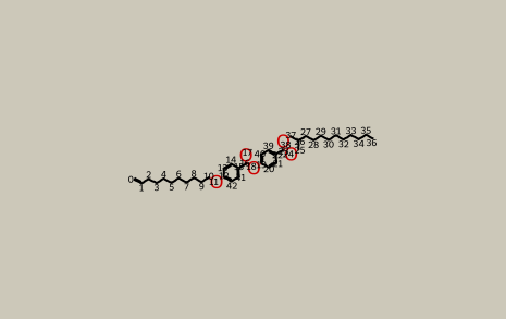 C=CCCCCCCCCCOc1ccc(C(=O)Oc2ccc(C3OCC(CCCCCCCCCC)CO3)cc2)cc1